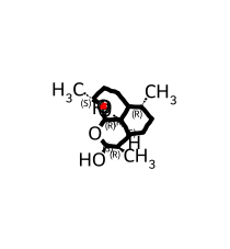 C[C@H]1[C@@H](O)O[C@@H]2O[C@]3(C)CCC4[C@H](C)CC[C@@H]1[C@]42OO3